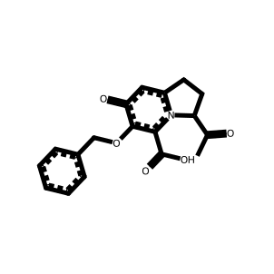 CC(=O)C1CCc2cc(=O)c(OCc3ccccc3)c(C(=O)O)n21